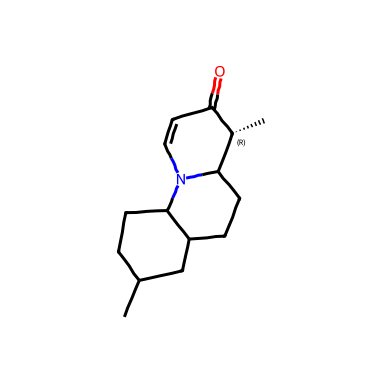 CC1CCC2C(CCC3[C@@H](C)C(=O)C=CN23)C1